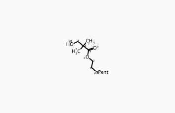 CCCCCCCOC(=O)C(C)(C)CO